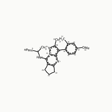 CCCCCC(C)Nc1c2c(nc3c(-c4ccc(OC)cc4C)c(C)nn13)CCC2